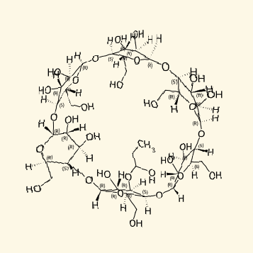 CCC(O)O[C@@H]1[C@@H](O)[C@H]2O[C@H]3[C@H](O)[C@@H](O)[C@@H](O[C@H]4[C@H](O)[C@@H](O)[C@@H](O[C@H]5[C@H](O)[C@@H](O)[C@@H](O[C@H]6[C@H](O)[C@@H](O)[C@@H](O[C@H]7[C@H](O)[C@@H](O)[C@@H](O[C@H]1[C@@H](CO)O2)O[C@@H]7CO)O[C@@H]6CO)O[C@@H]5CO)O[C@@H]4CO)O[C@@H]3CO